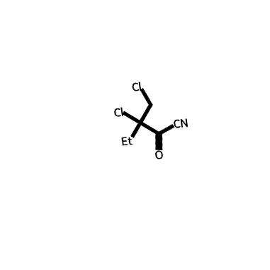 CCC(Cl)(CCl)C(=O)C#N